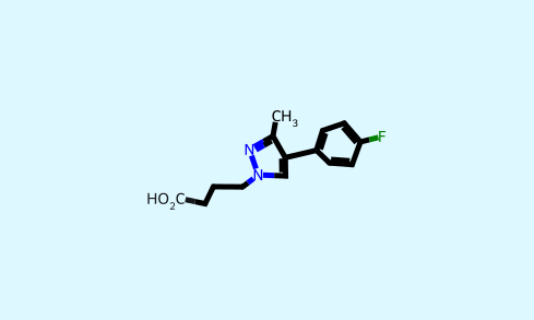 Cc1nn(CCCC(=O)O)cc1-c1ccc(F)cc1